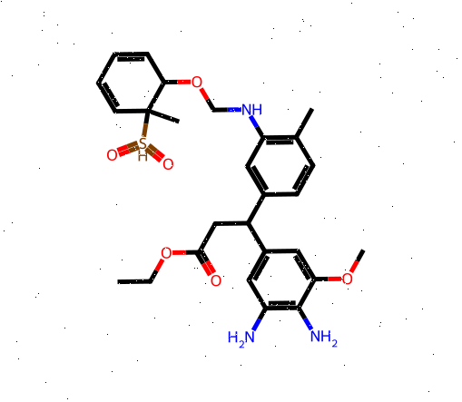 CCOC(=O)CC(c1ccc(C)c(NCOC2C=CC=CC2(C)[SH](=O)=O)c1)c1cc(N)c(N)c(OC)c1